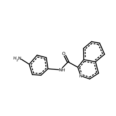 Nc1ccc(NC(=O)c2nccc3ccccc23)cc1